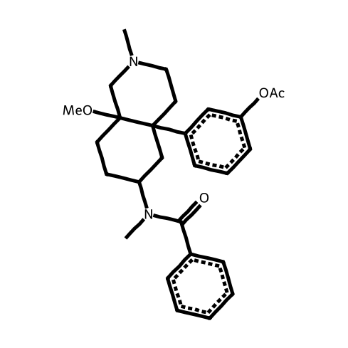 COC12CCC(N(C)C(=O)c3ccccc3)CC1(c1cccc(OC(C)=O)c1)CCN(C)C2